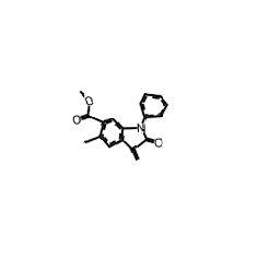 C=C1C(=O)N(c2ccccc2)c2cc(C(=O)OC)c(C)cc21